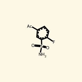 CC(=O)c1ccc(F)c(S(N)(=O)=O)c1